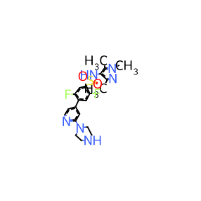 Cc1nn(C)c(C)c1NS(=O)(=O)c1cc(F)c(-c2ccnc(N3CCNCC3)c2)cc1F